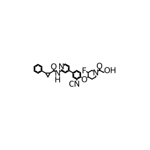 N#Cc1cc(-c2ccnc(NC(=O)C3CC3c3ccccc3)c2)ccc1OC1CCN(C(=O)CO)CC1F